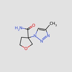 Cc1cn(C2(C(N)=O)CCOC2)nn1